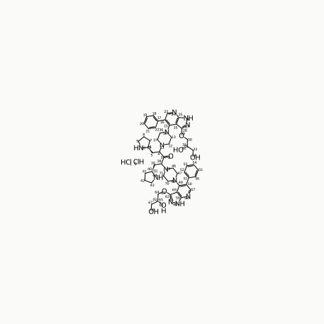 Cl.Cl.O=C(C(C[C@@H]1CCCN1)N1CCN(c2c(-c3ccccc3)cnc3[nH]nc(OC[C@@H](O)CO)c23)CC1)C(C[C@@H]1CCCN1)N1CCN(c2c(-c3ccccc3)cnc3[nH]nc(OC[C@@H](O)CO)c23)CC1